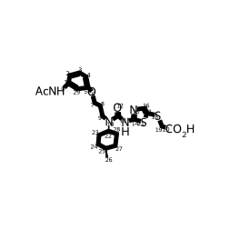 CC(=O)Nc1cccc(OCCCN(C(=O)Nc2ncc(SCC(=O)O)s2)[C@H]2CC[C@H](C)CC2)c1